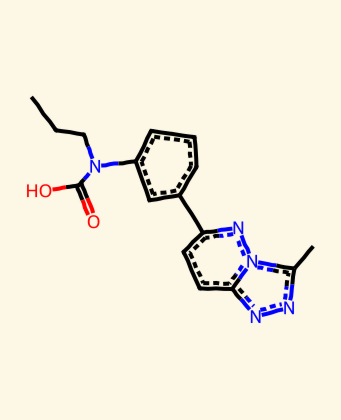 CCCN(C(=O)O)c1cccc(-c2ccc3nnc(C)n3n2)c1